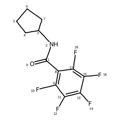 O=C(NC1CCCC1)c1c(F)c(F)c(F)c(F)c1F